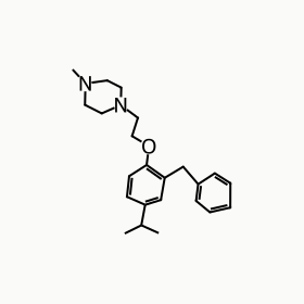 CC(C)c1ccc(OCCN2CCN(C)CC2)c(Cc2ccccc2)c1